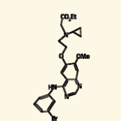 CCOC(=O)CN(CCOc1cc2c(Nc3cccc(Br)c3)ncnc2cc1OC)C1CC1